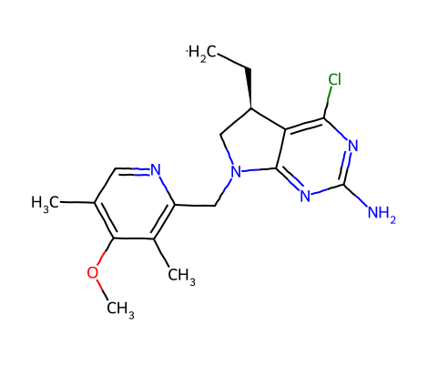 [CH2]C[C@@H]1CN(Cc2ncc(C)c(OC)c2C)c2nc(N)nc(Cl)c21